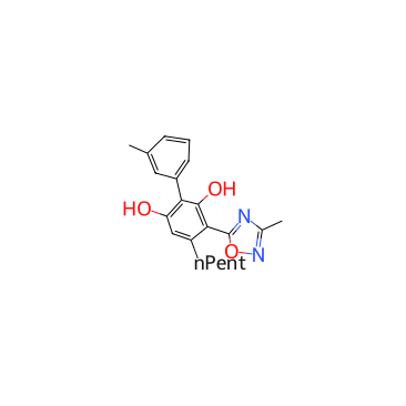 CCCCCc1cc(O)c(-c2cccc(C)c2)c(O)c1-c1nc(C)no1